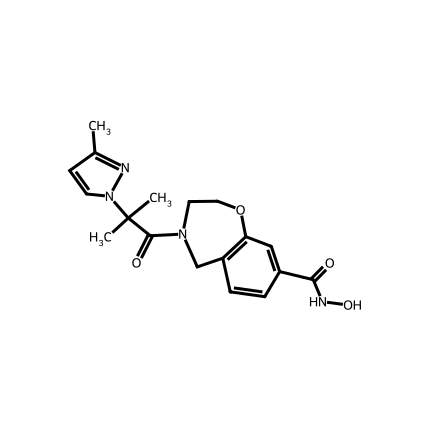 Cc1ccn(C(C)(C)C(=O)N2CCOc3cc(C(=O)NO)ccc3C2)n1